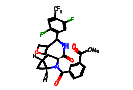 COC(=O)c1cccc(C(=O)N2[C@@H](C(=O)NC(c3cc(F)c(C(F)(F)F)cc3F)C3COC3)C[C@H]3C[C@H]32)c1